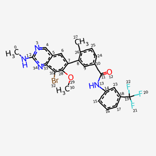 CNc1ncc2cc(-c3cc(C(=O)Nc4cccc(C(F)(F)F)c4)ccc3C)c(OC)c(Br)c2n1